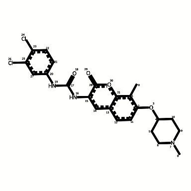 Cc1c(OC2CCN(C)CC2)ccc2cc(NC(=O)Nc3ccc(Cl)c(Cl)c3)c(=O)oc12